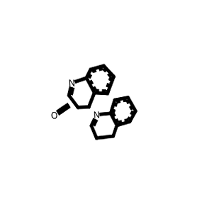 C1=Nc2ccccc2CC1.C1=Nc2ccccc2CC1.C=O